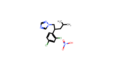 CC(C)CC(Cn1cncn1)c1ccc(Cl)cc1Cl.O=[N+]([O-])O